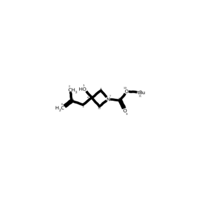 C=C(C)CC1(O)CN(C(=O)OC(C)(C)C)C1